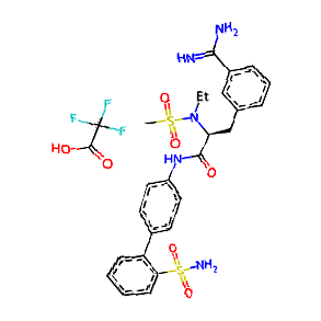 CCN([C@@H](Cc1cccc(C(=N)N)c1)C(=O)Nc1ccc(-c2ccccc2S(N)(=O)=O)cc1)S(C)(=O)=O.O=C(O)C(F)(F)F